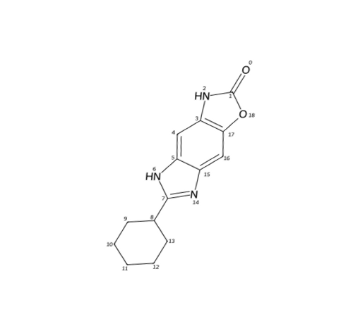 O=c1[nH]c2cc3[nH]c(C4CCCCC4)nc3cc2o1